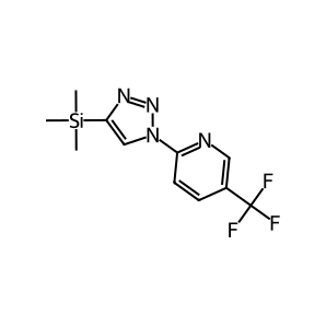 C[Si](C)(C)c1cn(-c2ccc(C(F)(F)F)cn2)nn1